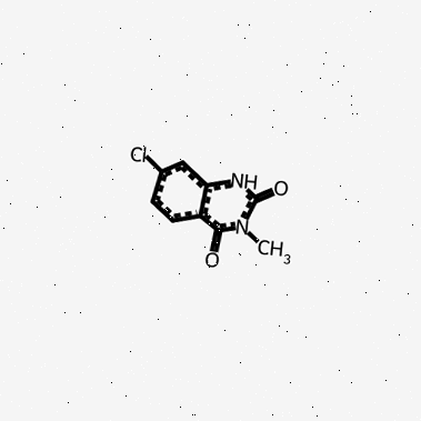 Cn1c(=O)[nH]c2cc(Cl)ccc2c1=O